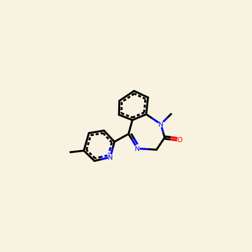 Cc1ccc(C2=NCC(=O)N(C)c3ccccc32)nc1